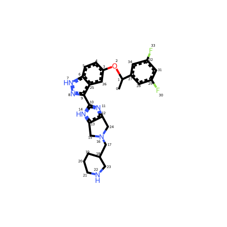 CC(Oc1ccc2[nH]nc(-c3nc4c([nH]3)CN(CC3CCCNC3)C4)c2c1)c1cc(F)cc(F)c1